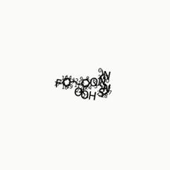 Cc1cn(C(COc2ccc(CCc3ccc(F)cc3)c(C(=O)O)c2)c2nccs2)cn1